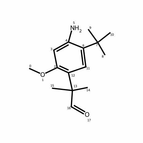 COc1cc(N)c(C(C)(C)C)cc1C(C)(C)C=O